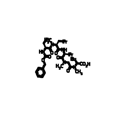 CCC(C)C(C(=O)O)N(C)C(=O)CN(C)C(=O)[C@@H](NC(=O)[C@H](CC(C)C)N(C)C(=O)[C@H](CC(C)C)NC(=O)OCc1ccccc1)C(C)C